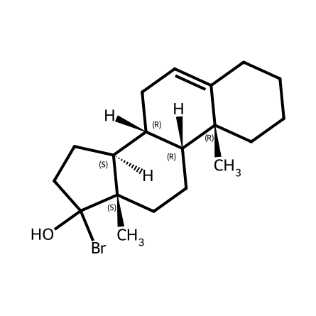 C[C@]12CCCCC1=CC[C@@H]1[C@H]2CC[C@@]2(C)[C@H]1CCC2(O)Br